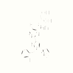 CC(C)N(C[C@H](O)CO)c1nc(-c2cc(-c3ccon3)n(Cc3ccccc3F)n2)ncc1F